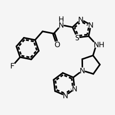 O=C(Cc1ccc(F)cc1)Nc1nnc(NC2CCN(c3cccnn3)C2)s1